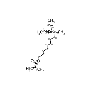 C=C(C)C(=O)OCCCCCCCCC(C)[SiH](OCC)OCC